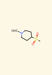 CS(=O)(=O)C1CCN(C=O)CC1